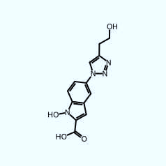 O=C(O)c1cc2cc(-n3cc(CCO)nn3)ccc2n1O